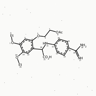 CCOc1cc(OCCOC(C)=O)c(C(Nc2ccc(C(=N)N)cc2)C(=O)O)cc1OCC